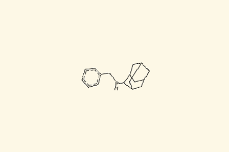 c1ccc(CPC2C3CC4CC(C3)CC2C4)cc1